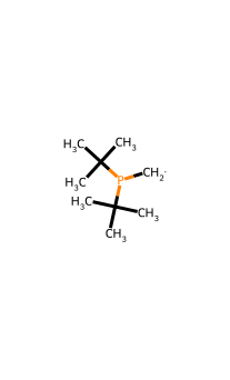 [CH2]P(C(C)(C)C)C(C)(C)C